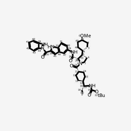 CO[C@H]1CC[C@H]([C@@H]2CCN(C(=O)[C@H]3CC[C@H]([C@@H](CF)NC(=O)OC(C)(C)C)CC3)[C@@H]2C(=O)Nc2ccc3[nH]c(C(=O)n4[nH]c5ccccc54)cc3c2)CC1